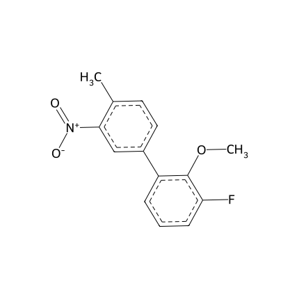 COc1c(F)cccc1-c1ccc(C)c([N+](=O)[O-])c1